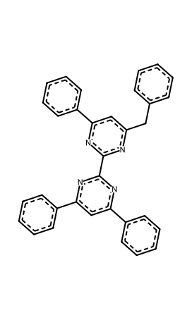 c1ccc(Cc2cc(-c3ccccc3)nc(-c3nc(-c4ccccc4)cc(-c4ccccc4)n3)n2)cc1